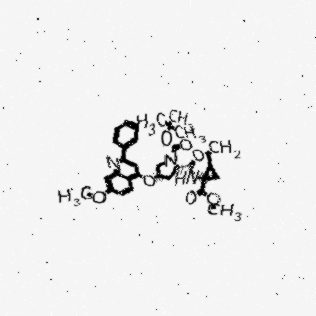 C=CC1C[C@]1(NC(=O)[C@@H]1C[C@@H](Oc2cc(-c3ccccc3)nc3cc(OC)ccc23)CN1C(=O)OC(C)(C)C)C(=O)OC